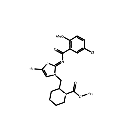 COc1ccc(Cl)cc1C(=O)/N=c1\sc(C(C)(C)C)cn1CC1CCCCN1C(=O)OC(C)(C)C